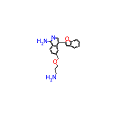 NCCCOCc1ccc2c(N)ncc(-c3cc4ccccc4o3)c2c1